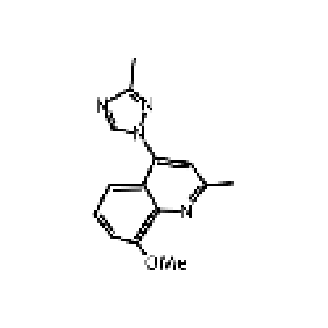 COc1cccc2c(-n3cnc(C)n3)cc(C)nc12